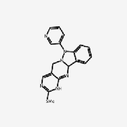 CSC1=NC=C2CN3C(N=C2N1)c1ccccc1N3c1cccnc1